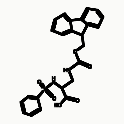 O=C(NCC(NS(=O)(=O)c1ccccc1)C(=O)O)OCC1c2ccccc2-c2ccccc21